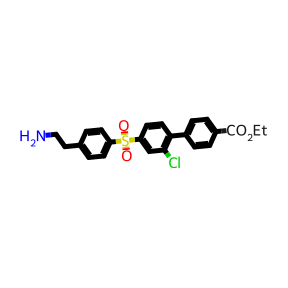 CCOC(=O)c1ccc(-c2ccc(S(=O)(=O)c3ccc(CCN)cc3)cc2Cl)cc1